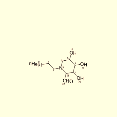 CCCCCCCCCN1CC(O)C(O)C(O)C1C=O